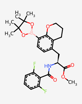 COC(=O)[C@H](Cc1ccc(B2OC(C)(C)C(C)(C)O2)c2c1CCCO2)NC(=O)c1c(F)cccc1F